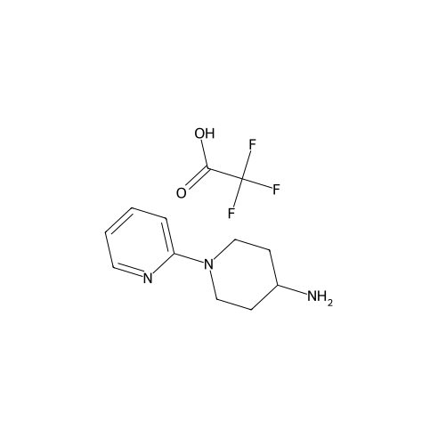 NC1CCN(c2ccccn2)CC1.O=C(O)C(F)(F)F